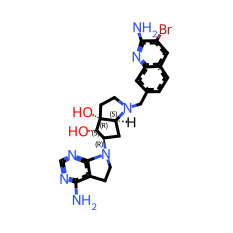 Nc1nc2cc(CN3CC[C@@]4(O)[C@@H]3C[C@@H](N3CCc5c(N)ncnc53)[C@@H]4O)ccc2cc1Br